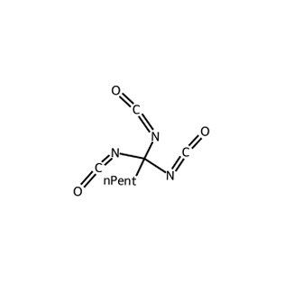 [CH2]CCCCC(N=C=O)(N=C=O)N=C=O